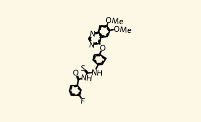 COc1cc2ncnc(Oc3ccc(NC(=S)NC(=O)c4cccc(F)c4)cc3)c2cc1OC